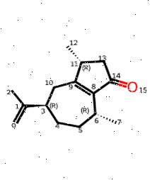 C=C(C)[C@@H]1CC[C@@H](C)C2=C(C1)[C@H](C)CC2=O